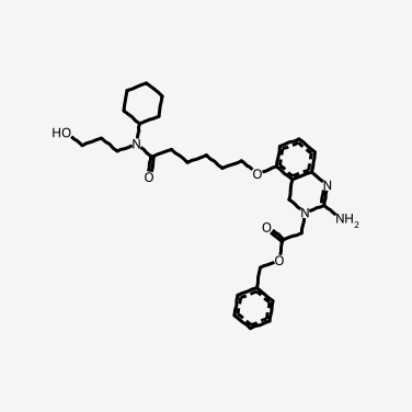 NC1=Nc2cccc(OCCCCCC(=O)N(CCCO)C3CCCCC3)c2CN1CC(=O)OCc1ccccc1